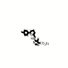 CCOC(=O)c1ncnc(NCC2CCC[C@@H](c3ccc(C)cc3)O2)c1C